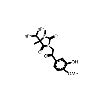 CCCC(CCC)C1(C)C(=O)N(CC(=O)c2ccc(OC)c(O)c2)C(=O)N1C